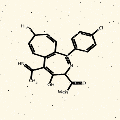 CNC(=O)C1N=C(c2ccc(Cl)cc2)C2=C(C=CC(C)C=C2)C(C(C)=N)=C1O